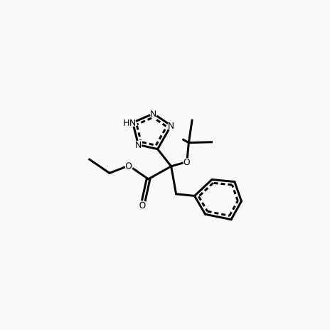 CCOC(=O)C(Cc1ccccc1)(OC(C)(C)C)c1nn[nH]n1